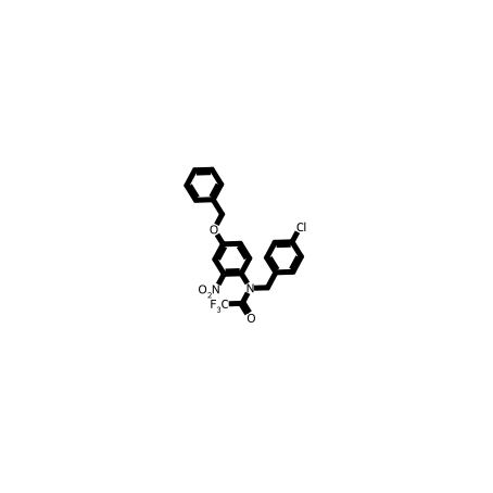 O=C(N(Cc1ccc(Cl)cc1)c1ccc(OCc2ccccc2)cc1[N+](=O)[O-])C(F)(F)F